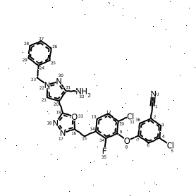 N#Cc1cc(Cl)cc(Oc2c(Cl)ccc(Cc3nnc(-c4cn(Cc5ccccc5)nc4N)o3)c2F)c1